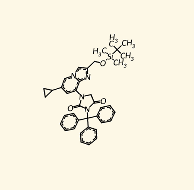 CC(C)(C)[Si](C)(C)OCc1cn2cc(C3CC3)cc(N3CC(=O)N(C(c4ccccc4)(c4ccccc4)c4ccccc4)C3=O)c2n1